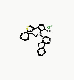 CC1C=CC(c2ccsc2)=[C]1[Zr+2](=[CH]Cc1ccccc1)[c]1cccc2c1Cc1ccccc1-2.[Cl-].[Cl-]